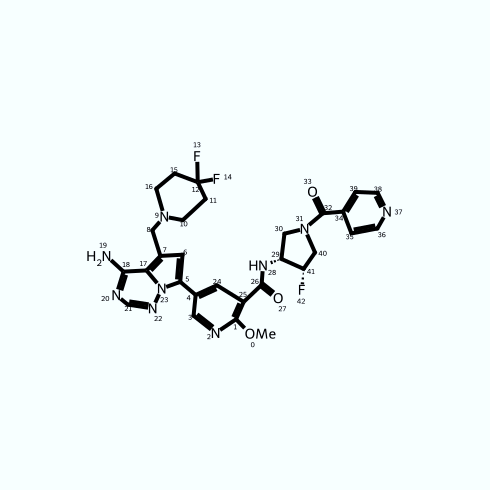 COc1ncc(-c2cc(CN3CCC(F)(F)CC3)c3c(N)ncnn23)cc1C(=O)N[C@@H]1CN(C(=O)c2ccncc2)C[C@@H]1F